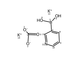 O=C([O-])[O-].OB(O)c1cccnc1.[K+].[K+]